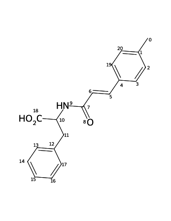 Cc1ccc(C=CC(=O)NC(Cc2ccccc2)C(=O)O)cc1